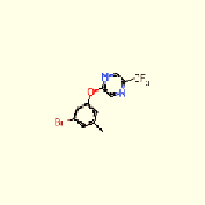 Cc1cc(Br)cc(Oc2cnc(C(F)(F)F)cn2)c1